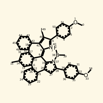 COc1ccc(C2=N/C(=C(/c3c(C)cc(C)cc3C)c3c(-c4ccccc4)cc(-c4ccc(OC)cc4)n3B(C)F)C(c3ccccc3)=C2I)cc1